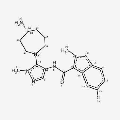 Cn1ncc(NC(=O)c2c(N)sc3ccc(Cl)nc23)c1N1CCC[C@@H](N)CC1